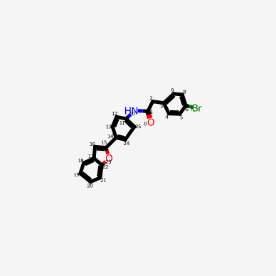 O=C(Cc1ccc(Br)cc1)Nc1ccc(-c2cc3ccccc3o2)cc1